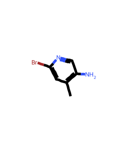 Cc1cc(Br)ncc1N